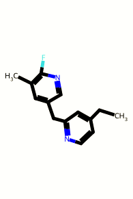 CCc1ccnc(Cc2cnc(F)c(C)c2)c1